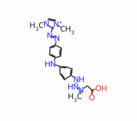 CN(CC(=O)O)NNc1ccc(Nc2ccc(/N=N/c3n(C)cc[n+]3C)cc2)cc1